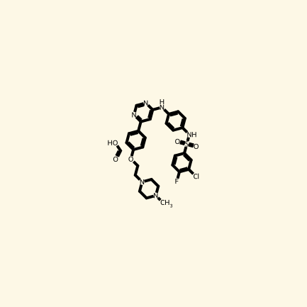 CN1CCN(CCOc2ccc(-c3cc(Nc4ccc(NS(=O)(=O)c5ccc(F)c(Cl)c5)cc4)ncn3)cc2)CC1.O=CO